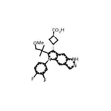 COCC(C)(C)c1c([C@H]2C[C@H](C(=O)O)C2)c2cc3[nH]ncc3cc2n1-c1ccc(F)c(F)c1